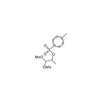 COC(OC)C(C)OS(=O)(=O)c1ccc(C)cc1